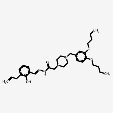 C=CCc1cccc(/C=N/NC(=O)CN2CCN(Cc3ccc(OCCCC)c(OCCCC)c3)CC2)c1O